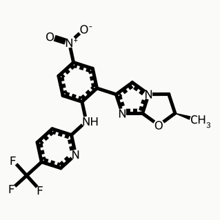 C[C@@H]1Cn2cc(-c3cc([N+](=O)[O-])ccc3Nc3ccc(C(F)(F)F)cn3)nc2O1